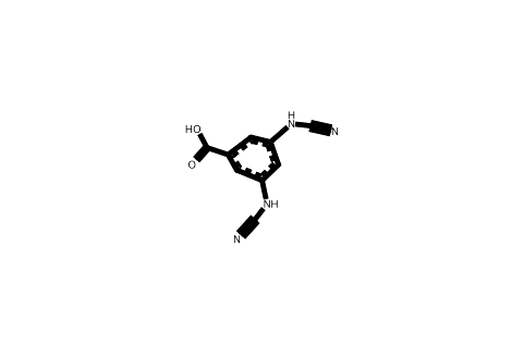 N#CNc1cc(NC#N)cc(C(=O)O)c1